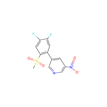 CS(=O)(=O)c1cc(F)c(F)cc1-c1cncc([N+](=O)[O-])c1